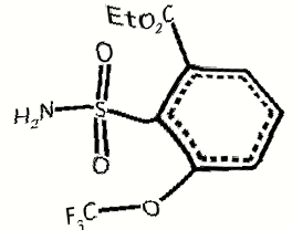 CCOC(=O)c1cccc(OC(F)(F)F)c1S(N)(=O)=O